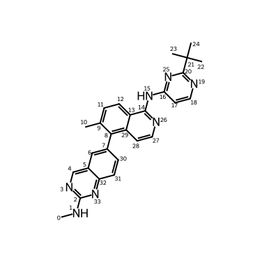 CNc1ncc2cc(-c3c(C)ccc4c(Nc5ccnc(C(C)(C)C)n5)nccc34)ccc2n1